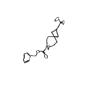 O=C(Cl)C1CC2(CCN(C(=O)OCc3ccccc3)CC2)C1